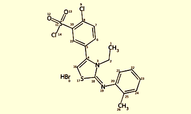 Br.CCn1c(-c2ccc(Cl)c(S(=O)(=O)Cl)c2)cs/c1=N/c1ccccc1C